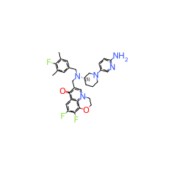 Cc1cc(CN(Cc2cn3c4c(c(F)c(F)cc4c2=O)OCC3)[C@H]2CCCN(c3ccc(N)nc3)C2)cc(C)c1F